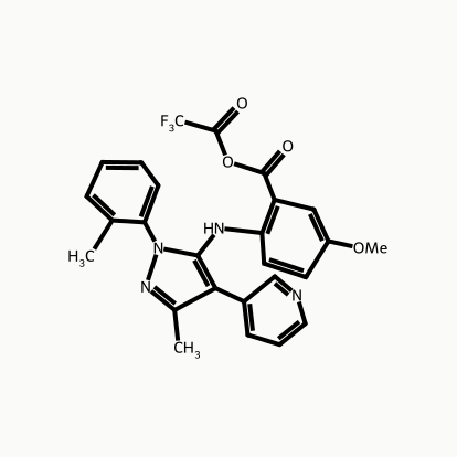 COc1ccc(Nc2c(-c3cccnc3)c(C)nn2-c2ccccc2C)c(C(=O)OC(=O)C(F)(F)F)c1